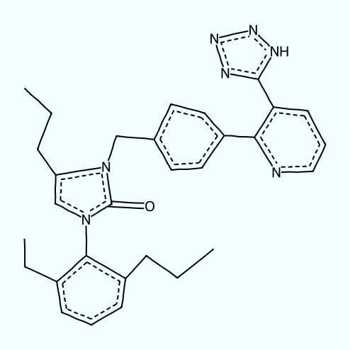 CCCc1cccc(CC)c1-n1cc(CCC)n(Cc2ccc(-c3ncccc3-c3nnn[nH]3)cc2)c1=O